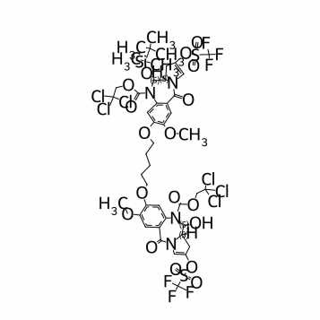 COc1cc2c(cc1OCCCCCOc1cc3c(cc1OC)C(=O)N1C=C(OS(=O)(=O)C(F)(F)F)C[C@H]1[C@H](O[Si](C)(C)C(C)(C)C)N3C(=O)OCC(Cl)(Cl)Cl)N(C(=O)OCC(Cl)(Cl)Cl)[C@@H](O)[C@@H]1CC(OS(=O)(=O)C(F)(F)F)=CN1C2=O